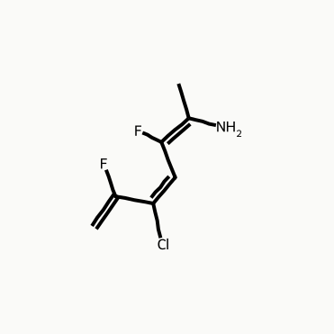 C=C(F)/C(Cl)=C\C(F)=C(\C)N